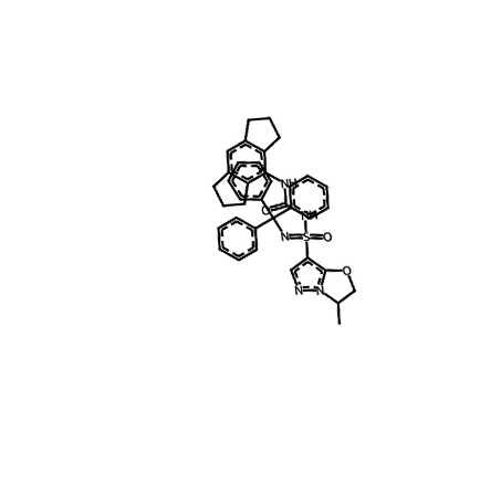 CC1COc2c(S(=O)(=NC(c3ccccc3)(c3ccccc3)c3ccccc3)NC(=O)Nc3c4c(cc5c3CCC5)CCC4)cnn21